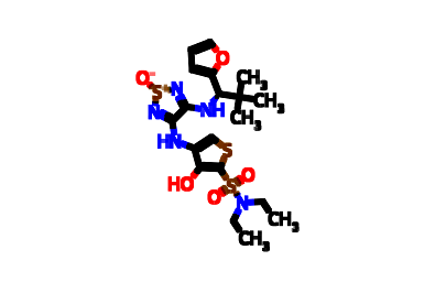 CCN(CC)S(=O)(=O)c1scc(Nc2n[s+]([O-])nc2N[C@@H](c2ccco2)C(C)(C)C)c1O